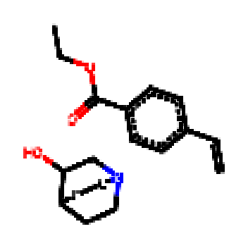 C=Cc1ccc(C(=O)OCC)cc1.OC1CN2CCC1CC2